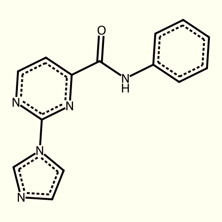 O=C(Nc1ccccc1)c1ccnc(-n2ccnc2)n1